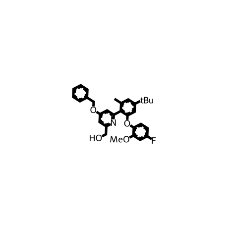 COc1cc(F)ccc1Oc1cc(C(C)(C)C)cc(C)c1-c1cc(OCc2ccccc2)cc(CO)n1